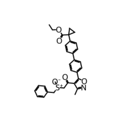 CCOC(=O)C1(c2ccc(-c3ccc(-c4onc(C)c4C(=O)C[S+]([O-])Cc4ccccc4)cc3)cc2)CC1